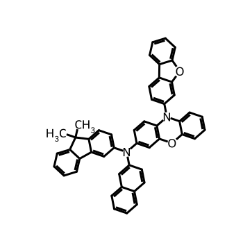 CC1(C)c2ccccc2-c2cc(N(c3ccc4c(c3)Oc3ccccc3N4c3ccc4c(c3)oc3ccccc34)c3ccc4ccccc4c3)ccc21